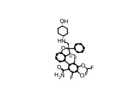 C[C@H]1c2c(cccc2-c2c(F)c(OC(F)F)c(Cl)c(F)c2C(N)=O)O[C@]1(CN[C@H]1CC[C@@H](O)CC1)c1ccccc1